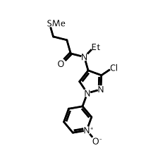 CCN(C(=O)CCSC)c1cn(-c2ccc[n+]([O-])c2)nc1Cl